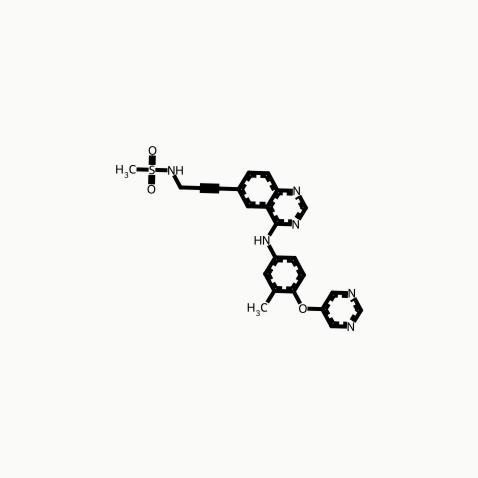 Cc1cc(Nc2ncnc3ccc(C#CCNS(C)(=O)=O)cc23)ccc1Oc1cncnc1